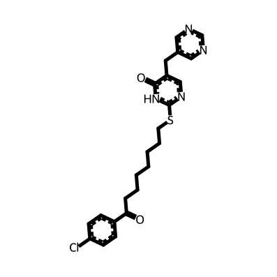 O=C(CCCCCCCSc1ncc(Cc2cncnc2)c(=O)[nH]1)c1ccc(Cl)cc1